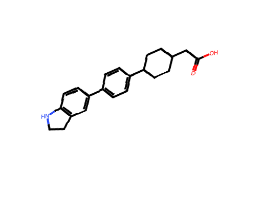 O=C(O)CC1CCC(c2ccc(-c3ccc4c(c3)CCN4)cc2)CC1